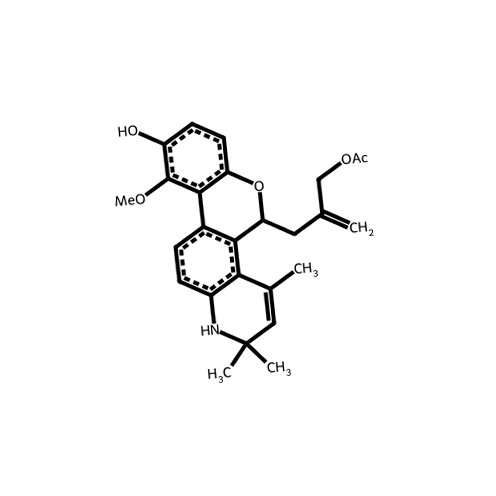 C=C(COC(C)=O)CC1Oc2ccc(O)c(OC)c2-c2ccc3c(c21)C(C)=CC(C)(C)N3